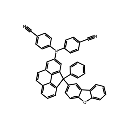 N#Cc1ccc(N(c2ccc(C#N)cc2)c2cc3c4c(ccc5cccc(c54)C3(c3ccccc3)c3ccc4oc5ccccc5c4c3)c2)cc1